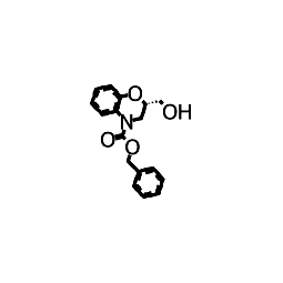 O=C(OCc1ccccc1)N1C[C@@H](CO)Oc2ccccc21